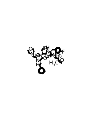 CC(C)C[C@H](NC(=O)[C@H](CCc1ccccc1)NC(=O)CN1CCOCC1)C(=O)N[C@@H](Cc1ccc(F)cc1)C(=O)NCC(=O)[C@@]1(C)CO1